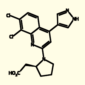 O=C(O)C[C@@H]1CCCN1c1cc(-c2cn[nH]c2)c2ccc(Cl)c(Cl)c2n1